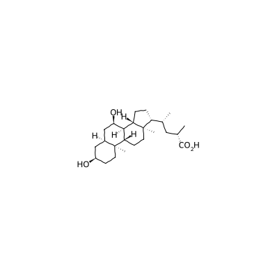 C[C@H](C[C@H](C)C(=O)O)[C@H]1CC[C@H]2[C@@H]3[C@H](O)C[C@@H]4C[C@H](O)CC[C@]4(C)[C@H]3CC[C@]12C